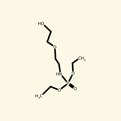 CCOP(=O)(NCCOCCO)OCC